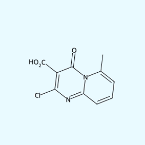 Cc1cccc2nc(Cl)c(C(=O)O)c(=O)n12